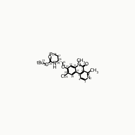 Cc1nccc2c1c(=O)n(C)c1cc(OC[C@@H](CC(C)C)NC(=O)OC(C)(C)C)c(Cl)cc21